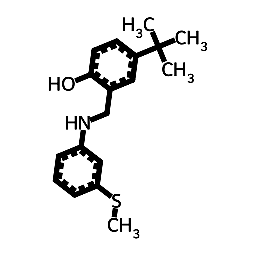 CSc1cccc(NCc2cc(C(C)(C)C)ccc2O)c1